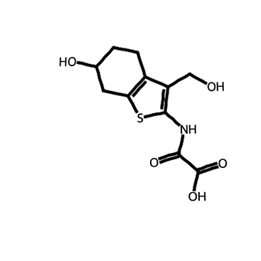 O=C(O)C(=O)Nc1sc2c(c1CO)CCC(O)C2